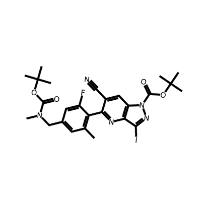 Cc1cc(CN(C)C(=O)OC(C)(C)C)cc(F)c1-c1nc2c(I)nn(C(=O)OC(C)(C)C)c2cc1C#N